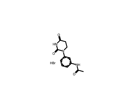 Br.CC(=O)Nc1cccc(N2CCC(=O)NC2=O)c1